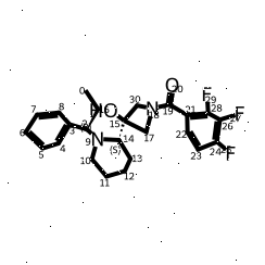 CC[C@H](c1ccccc1)N1CCCC[C@H]1C1(O)CN(C(=O)c2ccc(F)c(F)c2F)C1